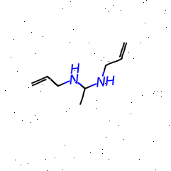 C=CCNC(C)NCC=C